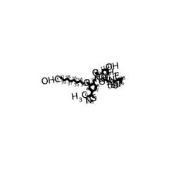 Cc1ncsc1-c1ccc(CNC(=O)[C@@H]2C[C@@H](O)CN2C(=O)C(NC(=O)C2(F)CC2)C(C)(C)C)c(OCCCCCCCCC=O)c1